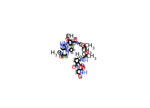 CCC(C)(CCOC(C)(C)CCNc1cccc2c1C(=O)N(C1CCC(=O)NC1=O)C2=O)OCCNC(=O)c1cc(OC)c(Nc2ncc3c(n2)N(C2CCCC2)CC(F)(F)C(=O)N3C)cc1F